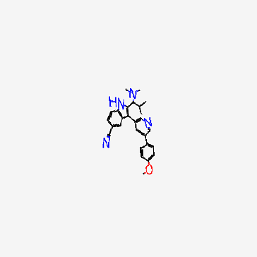 COc1ccc(-c2cncc(-c3c(C(C(C)C)N(C)C)[nH]c4ccc(C#N)cc34)c2)cc1